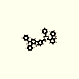 c1ccc(-c2nc(-c3ccc4sc5c(ccc6c(-c7ccccc7)nc7ccccc7c65)c4c3)nc(-c3cccc4sc5ccccc5c34)n2)cc1